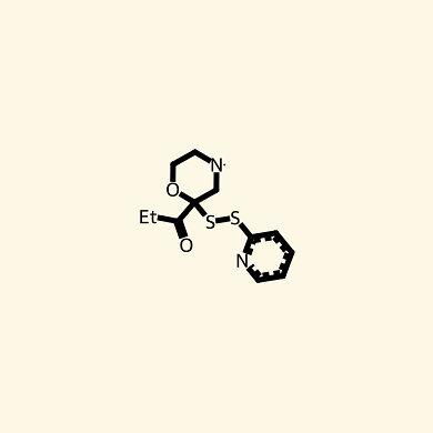 CCC(=O)C1(SSc2ccccn2)C[N]CCO1